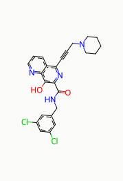 O=C(NCc1cc(Cl)cc(Cl)c1)c1nc(C#CCN2CCCCC2)c2cccnc2c1O